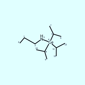 CCC[NH][Ge]([CH](C)C)([CH](C)C)[CH](C)C